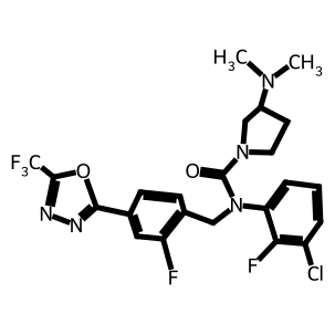 CN(C)C1CCN(C(=O)N(Cc2ccc(-c3nnc(C(F)(F)F)o3)cc2F)c2cccc(Cl)c2F)C1